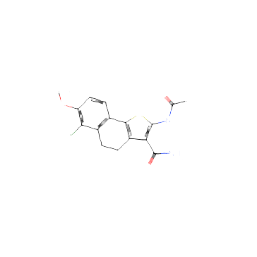 COc1ccc2c(c1Cl)CCc1c-2sc(NC(C)=O)c1C(N)=O